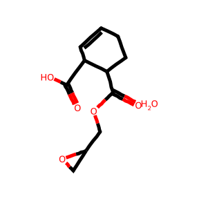 O.O=C(O)C1C=CCCC1C(=O)OCC1CO1